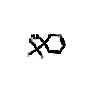 NC1(C(F)(F)F)[CH]N=CC=C1